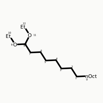 CCCCCCCCCCCCCCC[C](OCC)OCC